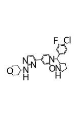 O=c1cc(-c2ccnc(NC3CCOCC3)n2)ccn1[C@@H](c1ccc(Cl)c(F)c1)C1CCCN1